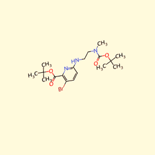 CN(CCNc1ccc(Br)c(C(=O)OC(C)(C)C)n1)C(=O)OC(C)(C)C